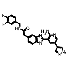 Cn1cc(-c2cnc(N)c(-c3nc4cc(CC(=O)NCc5ccc(F)c(F)c5)ccc4[nH]3)c2)cn1